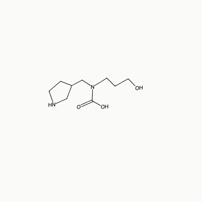 O=C(O)N(CCCO)CC1CCNC1